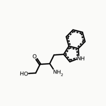 NC(Cc1c[nH]c2ccccc12)C(=O)CO